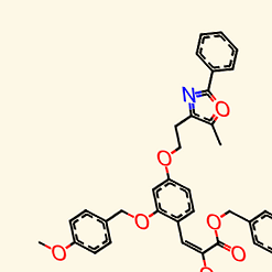 CO/C(=C/c1ccc(OCCc2nc(-c3ccccc3)oc2C)cc1OCc1ccc(OC)cc1)C(=O)OCc1ccccc1